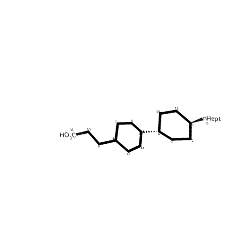 CCCCCCC[C@H]1CC[C@H](C2CCC(CCC(=O)O)CC2)CC1